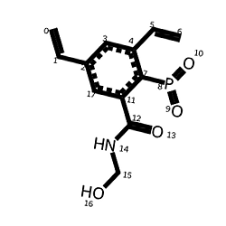 C=Cc1cc(C=C)c(P(=O)=O)c(C(=O)NCO)c1